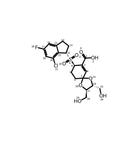 O=C(O)C1=CC2(CC[C@H]1S(=O)(=O)[C@H]1CCc3cc(F)cc(Cl)c31)O[C@H](CO)[C@@H](CO)O2